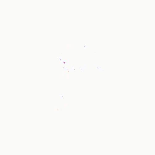 COC(C)CN1CC2CCC(C1)N2c1nc(OCC2CCN(C(=O)CO)CC2)nc2c(F)c(-c3ncc(F)c4sc(N)c(C#N)c34)c3c(c12)COC3